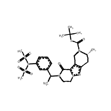 CC(c1cccc(N(S(C)(=O)=O)S(C)(=O)=O)c1)N1CCn2nc3c(c2C1=O)CN(C(=O)OC(C)(C)C)[C@H](C)C3